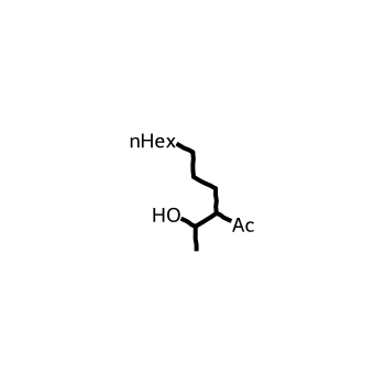 CCCCCCCCCC(C(C)=O)C(C)O